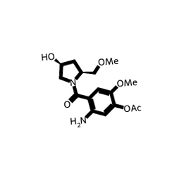 COC[C@@H]1C[C@H](O)CN1C(=O)c1cc(OC)c(OC(C)=O)cc1N